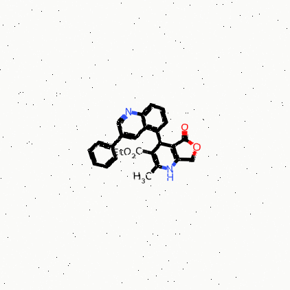 CCOC(=O)C1=C(C)NC2=C(C(=O)OC2)C1c1cccc2ncc(-c3ccccc3)cc12